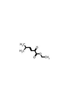 CCOC(=O)C(=O)C=CC(C)C